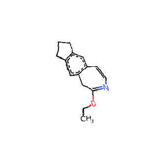 CCOC1=NC=Cc2cc3c(cc2C1)CCC3